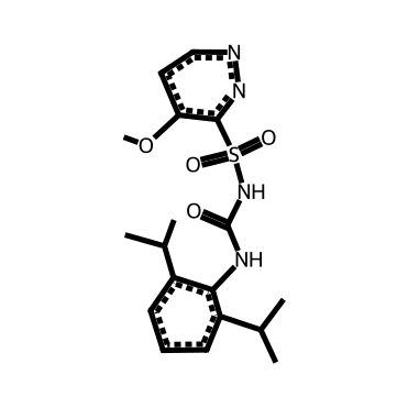 COc1ccnnc1S(=O)(=O)NC(=O)Nc1c(C(C)C)cccc1C(C)C